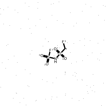 O=S(=O)(F)NS(=O)(=O)CF